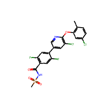 Cc1ccc(Cl)cc1Oc1ncc(-c2cc(F)c(C(=O)NS(C)(=O)=O)cc2F)cc1Cl